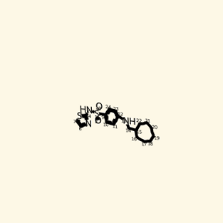 O=S(=O)(Nc1nccs1)c1ccc(NCC2CCCCCCC2)cc1